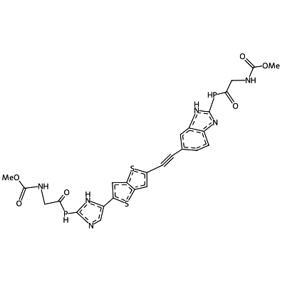 COC(=O)NCC(=O)Pc1ncc(-c2cc3sc(C#Cc4ccc5nc(PC(=O)CNC(=O)OC)[nH]c5c4)cc3s2)[nH]1